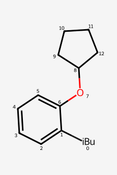 CCC(C)c1ccccc1OC1CCCC1